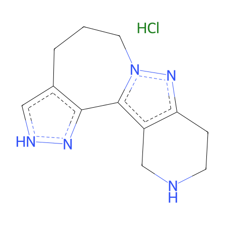 Cl.c1[nH]nc2c1CCCn1nc3c(c1-2)CNCC3